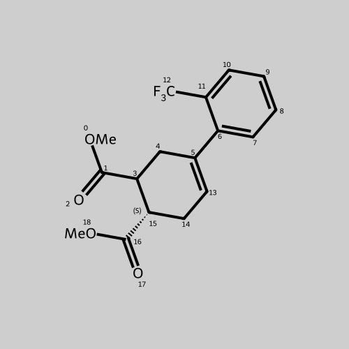 COC(=O)C1CC(c2ccccc2C(F)(F)F)=CC[C@@H]1C(=O)OC